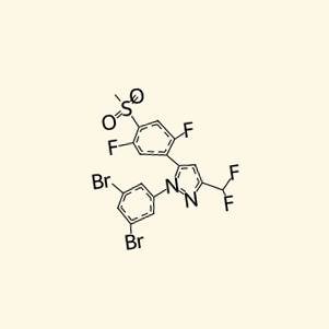 CS(=O)(=O)c1cc(F)c(-c2cc(C(F)F)nn2-c2cc(Br)cc(Br)c2)cc1F